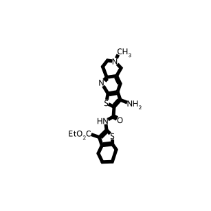 CCOC(=O)c1c(NC(=O)c2sc3nc4c(cc3c2N)CN(C)CC4)sc2c1CCCC2